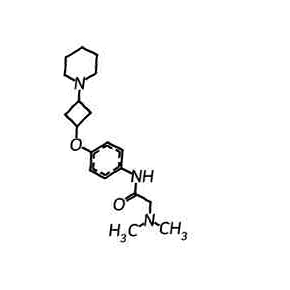 CN(C)CC(=O)Nc1ccc(OC2CC(N3CCCCC3)C2)cc1